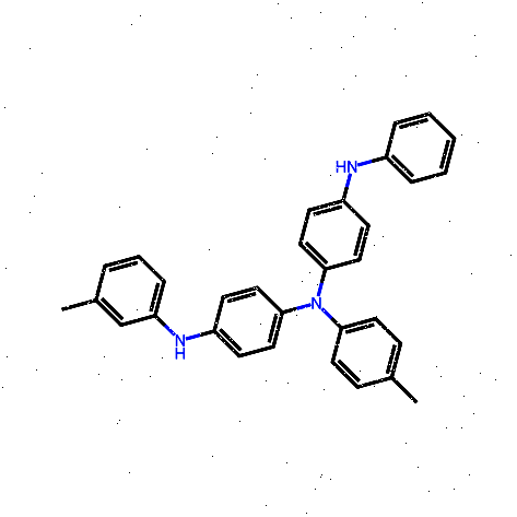 Cc1ccc(N(c2ccc(Nc3ccccc3)cc2)c2ccc(Nc3cccc(C)c3)cc2)cc1